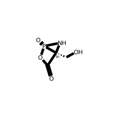 O=C1OP2(=O)N[C@@]12CO